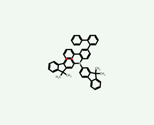 CC1(C)c2ccccc2-c2ccc(N(c3ccc4c(c3)C(C)(C)c3ccccc3-4)c3ccc(-c4ccccc4-c4ccccc4)cc3-c3ccccc3)cc21